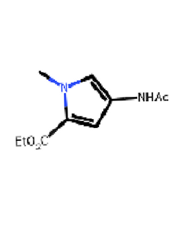 CCOC(=O)c1cc(NC(C)=O)cn1C